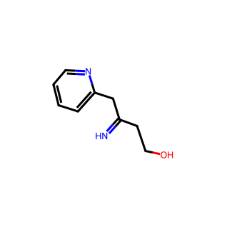 N=C(CCO)Cc1ccccn1